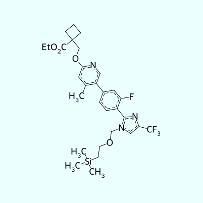 CCOC(=O)C1(COc2cc(C)c(-c3ccc(-c4nc(C(F)(F)F)cn4COCC[Si](C)(C)C)c(F)c3)cn2)CCC1